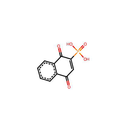 O=C1C=C(P(=O)(O)O)C(=O)c2ccccc21